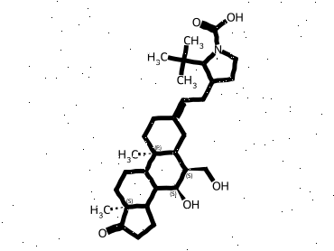 CC(C)(C)C1C(CC=C2CC[C@]3(C)C4CC[C@]5(C)C(=O)CCC5C4[C@H](O)[C@H](CO)C3C2)CCN1C(=O)O